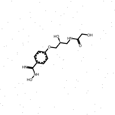 N=C(NO)c1ccc(OC[C@@H](O)CNC(=O)CO)cc1